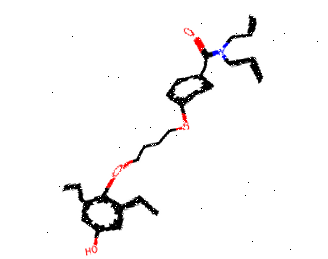 C=CCN(CC=C)C(=O)c1ccc(OCCCCOc2c(CC)cc(O)cc2CC)cc1